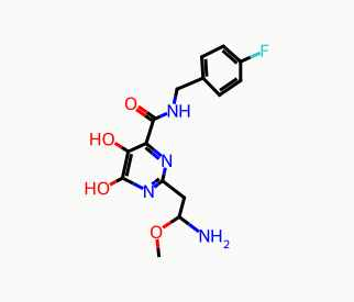 COC(N)Cc1nc(O)c(O)c(C(=O)NCc2ccc(F)cc2)n1